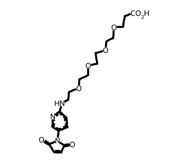 O=C(O)CCOCCOCCOCCOCCNc1ccc(N2C(=O)C=CC2=O)cn1